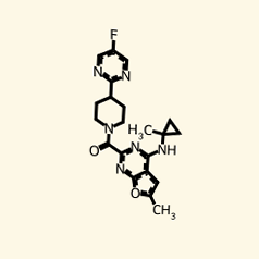 Cc1cc2c(NC3(C)CC3)nc(C(=O)N3CCC(c4ncc(F)cn4)CC3)nc2o1